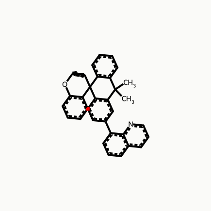 CC1(C)c2ccccc2C2(c3ccccc3Oc3ccccc32)c2ccc(-c3cccc4cccnc34)cc21